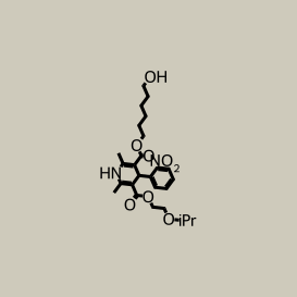 CC1=C(C(=O)OCCCCCCO)C(c2ccccc2[N+](=O)[O-])C(C(=O)OCCOC(C)C)=C(C)N1